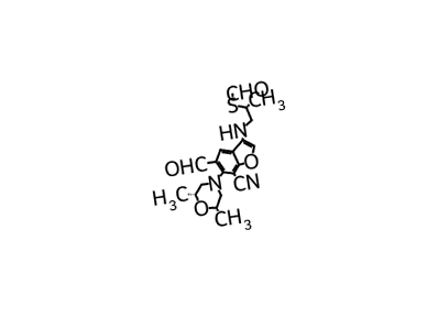 C[C@@H]1CN(c2c(C=O)cc3c(NC[C@H](C)SC=O)coc3c2C#N)C[C@@H](C)O1